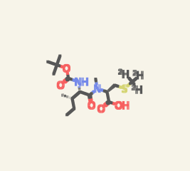 [2H]C([2H])([2H])SC[C@@H](C(=O)O)N(C)C(=O)[C@@H](NC(=O)OC(C)(C)C)[C@@H](C)CC